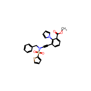 COC(=O)c1cccc(C#CN(Cc2ccccc2)S(=O)(=O)c2cccs2)c1-n1cccc1